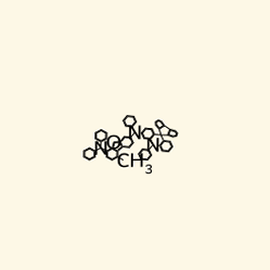 Cc1ccc(N(c2ccccc2)c2ccccc2)c2oc3cc(N(c4ccccc4)c4ccc5c(c4)N(c4ccccc4)c4ccccc4C54c5ccccc5-c5ccccc54)ccc3c12